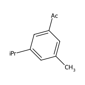 CC(=O)c1cc(C)cc(C(C)C)c1